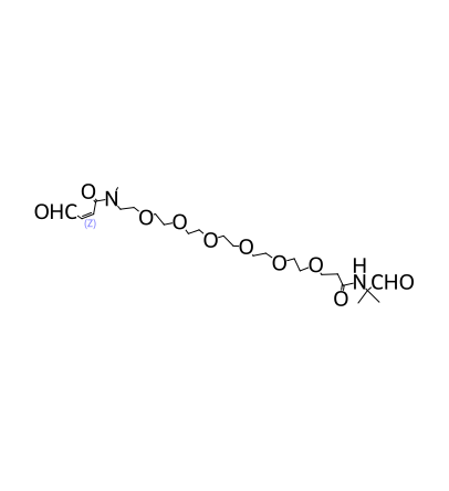 CN(CCOCCOCCOCCOCCOCCOCCC(=O)NC(C)(C)C=O)C(=O)/C=C\C=O